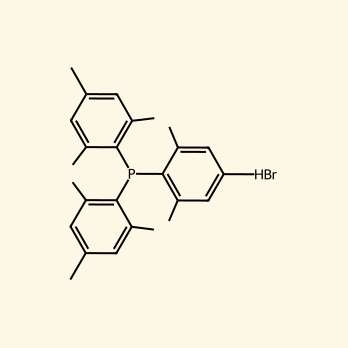 Br.Cc1cc(C)c(P(c2c(C)cc(C)cc2C)c2c(C)cc(C)cc2C)c(C)c1